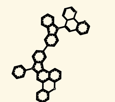 C1=CC2C(n3c4ccccc4c4cc(-c5ccc6c(c5)c5c7cccc8c7c(cc5n6-c5ccccc5)-c5ccccc5O8)ccc43)=Cc3cccnc3C2N=C1